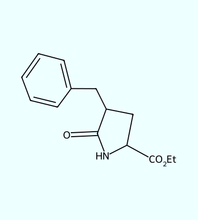 CCOC(=O)C1CC(Cc2ccccc2)C(=O)N1